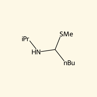 CCCCC(NC(C)C)SC